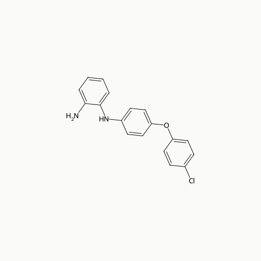 Nc1ccccc1Nc1ccc(Oc2ccc(Cl)cc2)cc1